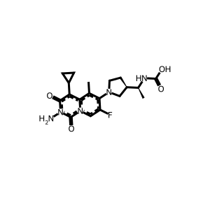 Cc1c(N2CC[C@@H]([C@H](C)NC(=O)O)C2)c(F)cn2c(=O)n(N)c(=O)c(C3CC3)c12